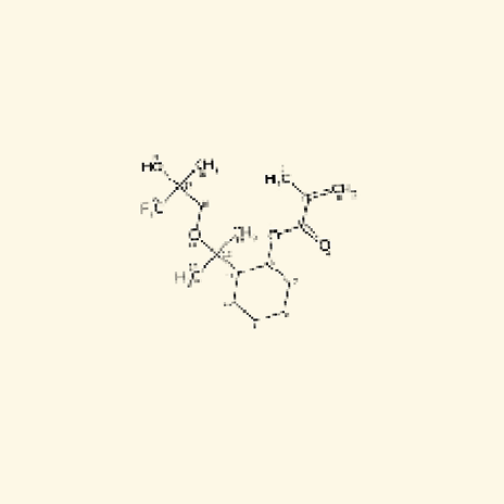 C=C(C)C(=O)OC1CCCCC1C(C)(C)OCC(C)(O)C(F)(F)F